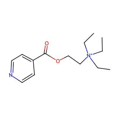 CC[N+](CC)(CC)CCOC(=O)c1ccncc1